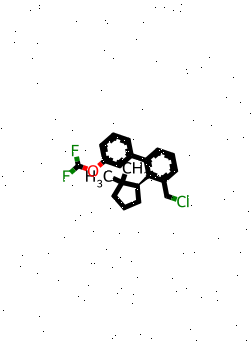 CC1(C)CCC[C@@H]1c1c(CCl)cccc1-c1cccc(OC(F)F)c1